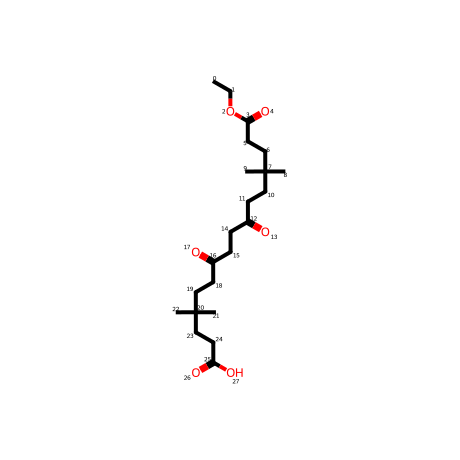 CCOC(=O)CCC(C)(C)CCC(=O)CCC(=O)CCC(C)(C)CCC(=O)O